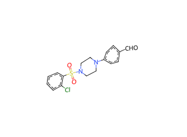 O=Cc1ccc(N2CCN(S(=O)(=O)c3ccccc3Cl)CC2)cc1